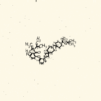 CC(C)N(C(=O)c1cc(F)ccc1Oc1cncnc1N1CC2(CCN(CC3(F)CCN(C(=O)OC(C)(C)C)CC3)CC2)C1)C(C)C